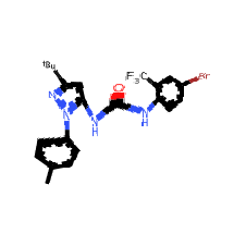 Cc1ccc(-n2nc(C(C)(C)C)cc2NC(=O)Nc2ccc(Br)cc2C(F)(F)F)cc1